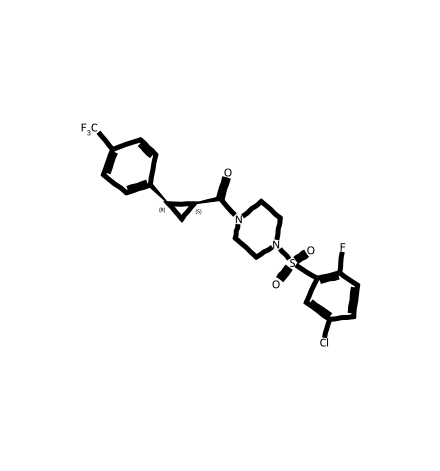 O=C([C@H]1C[C@H]1c1ccc(C(F)(F)F)cc1)N1CCN(S(=O)(=O)c2cc(Cl)ccc2F)CC1